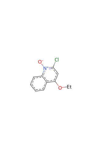 CCOc1cc(Cl)[n+]([O-])c2ccccc12